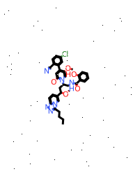 CCCCc1nnc2ccc(C(CC(CNC(=O)c3ccccc3O)n3cc(OC)c(-c4cc(Cl)ccc4C#N)cc3=O)OC)cn12